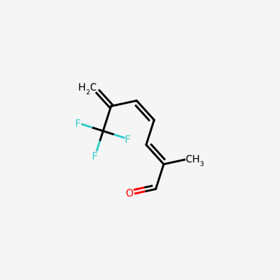 C=C(/C=C\C=C(/C)C=O)C(F)(F)F